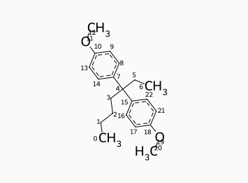 CCCCC(CC)(c1ccc(OC)cc1)c1ccc(OC)cc1